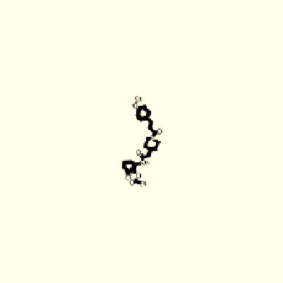 CCOc1ccc(CCC(=O)N2CCC(CC(=O)Nc3cccc(C(F)(F)F)c3OC(=O)CC)CC2)cc1